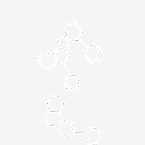 C1=CC(c2ccccc2)=NC2C1=CC=C1C=CC(c3cccc(-c4cc5c(oc6cccc(-c7ccccc7)c65)c5ccccc45)c3)=NC12